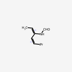 C/C=C(\C=C/C(C)C)NC=O